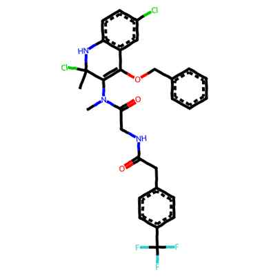 CN(C(=O)CNC(=O)Cc1ccc(C(F)(F)F)cc1)C1=C(OCc2ccccc2)c2cc(Cl)ccc2NC1(C)Cl